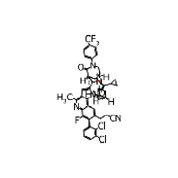 Cc1nc2c(F)c(-c3cccc(Cl)c3Cl)c(CCC#N)cc2c2c1cc([C@H]1[C@H]3C[C@H](CN(c4ccc(C(F)(F)F)cc4)C3=O)N1C(=O)C1CC1)n2[C@H]1[C@H]2CN[C@@H]1C2